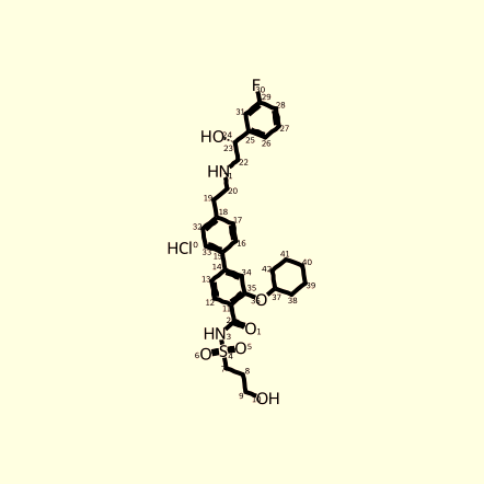 Cl.O=C(NS(=O)(=O)CCCO)c1ccc(-c2ccc(CCNC[C@H](O)c3cccc(F)c3)cc2)cc1OC1CCCCC1